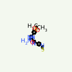 CC(C)S(=O)(=O)c1ccc(-c2cnc(N)c(-c3cc(-c4ccc(N=C=S)cc4)no3)n2)cc1